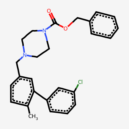 Cc1ccc(CN2CCN(C(=O)OCc3ccccc3)CC2)cc1-c1cccc(Cl)c1